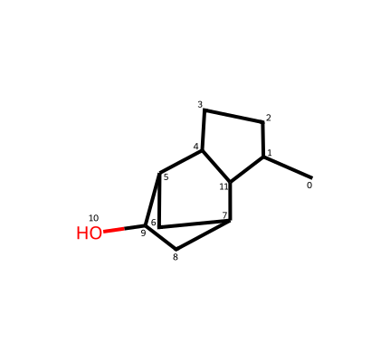 CC1CCC2C3CC(CC3O)C12